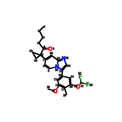 CCCCC(=O)C1(c2ccn3c(-c4cc(OC)c(C)c(OC(F)F)c4)cnc3c2)CC1